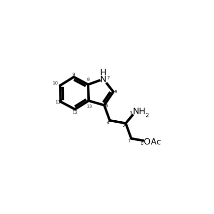 CC(=O)OCC(N)Cc1c[nH]c2ccccc12